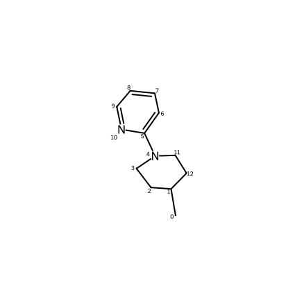 CC1CCN(c2ccccn2)CC1